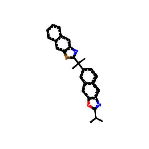 CC(C)c1nc2cc3ccc(C(C)(C)c4nc5cc6ccccc6cc5s4)cc3cc2o1